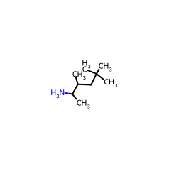 CC(N)C(C)CC(C)(C)C